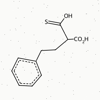 O=C(O)C(CCc1ccccc1)C(O)=S